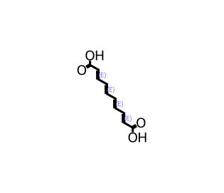 O=C(O)/C=C/C=C/C=C/C=C/C(=O)O